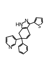 C1=CC(c2ccccc2)(c2cccnc2)Cc2[nH]nc(-c3cccs3)c21